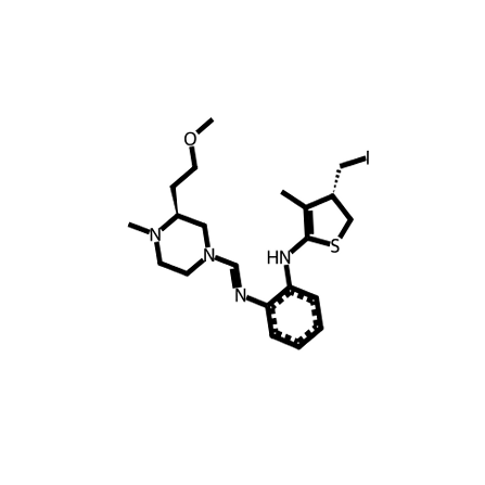 COCC[C@H]1CN(/C=N/c2ccccc2NC2=C(C)[C@H](CI)CS2)CCN1C